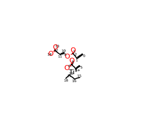 C=CC(=O)[O-].C=CC(=O)[O-].C=CC(=O)[O-].CC[CH](C)[Ti+3]